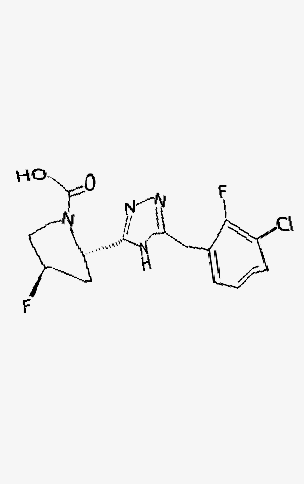 O=C(O)N1C[C@H](F)C[C@H]1c1nnc(-c2cccc(Cl)c2F)[nH]1